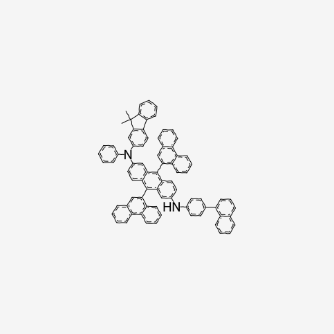 CC1(C)c2ccccc2-c2ccc(N(c3ccccc3)c3ccc4c(-c5cc6ccccc6c6ccccc56)c5cc(Nc6ccc(-c7cccc8ccccc78)cc6)ccc5c(-c5cc6ccccc6c6ccccc56)c4c3)cc21